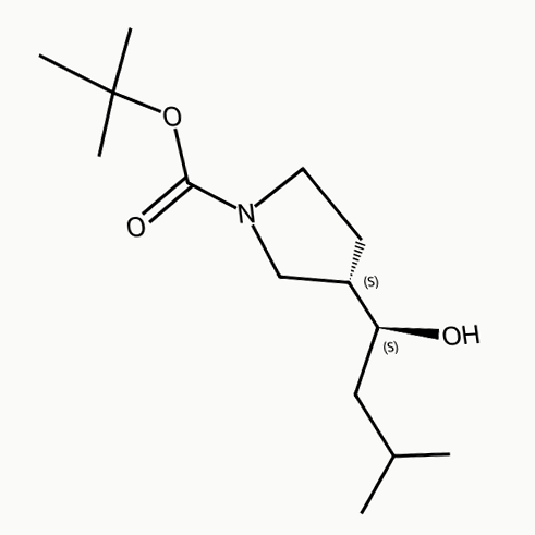 CC(C)C[C@H](O)[C@H]1CCN(C(=O)OC(C)(C)C)C1